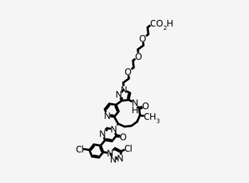 CC1CCC[C@H](n2cnc(-c3cc(Cl)ccc3-n3cc(Cl)nn3)cc2=O)c2cc(ccn2)-c2nn(CCOCCOCCOCCC(=O)O)cc2NC1=O